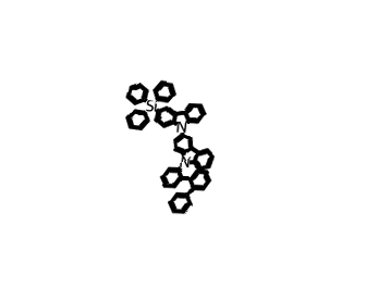 c1ccc(-c2ccccc2-c2ccccc2-n2c3ccccc3c3cc(-n4c5ccccc5c5cc([Si](c6ccccc6)(c6ccccc6)c6ccccc6)ccc54)ccc32)cc1